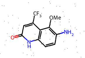 COc1c(N)ccc2[nH]c(=O)cc(C(F)(F)F)c12